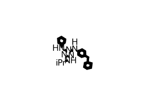 CC(C)Nc1nc(Nc2ccccc2)nc(Nc2ccc(Cc3ccccc3)cc2)n1